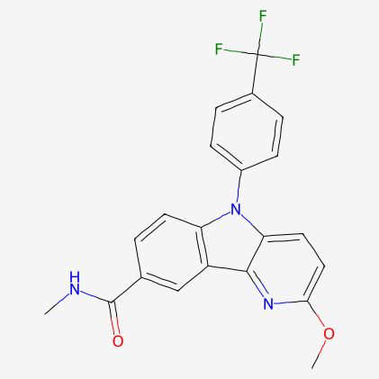 CNC(=O)c1ccc2c(c1)c1nc(OC)ccc1n2-c1ccc(C(F)(F)F)cc1